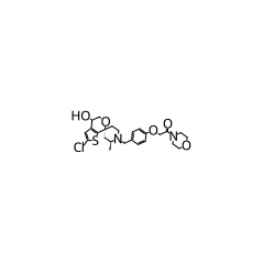 C[C@H]1C[C@@]2(CCN1Cc1ccc(OCC(=O)N3CCOCC3)cc1)OC[C@H](O)c1cc(Cl)sc12